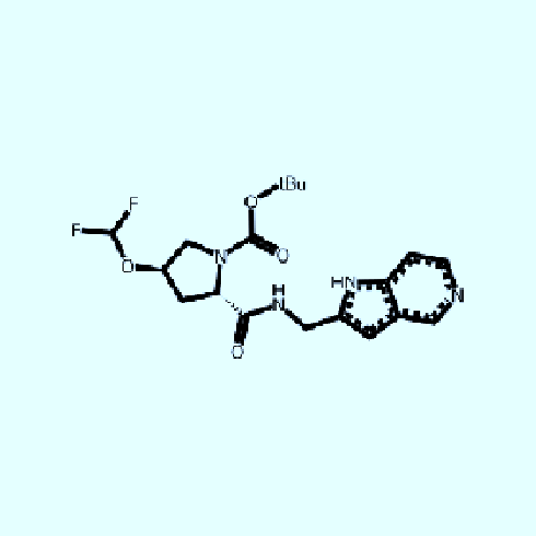 CC(C)(C)OC(=O)N1C[C@H](OC(F)F)C[C@H]1C(=O)NCc1cc2cnccc2[nH]1